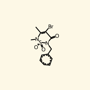 CC1=C(Br)C(=O)N(Cc2ccccc2)S(=O)(=O)N1C